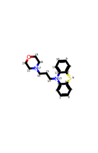 c1ccc2c(c1)Sc1ccccc1N2CCCN1CCOCC1